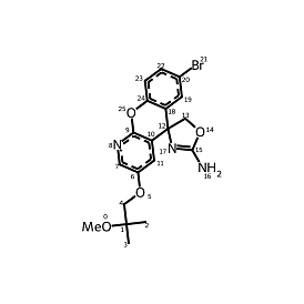 COC(C)(C)COc1cnc2c(c1)C1(COC(N)=N1)c1cc(Br)ccc1O2